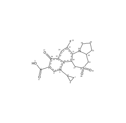 O=C(O)c1cn(C2CC2)c2c3c(c(F)cc2c1=O)N1CCCC1CS(=O)(=O)C3